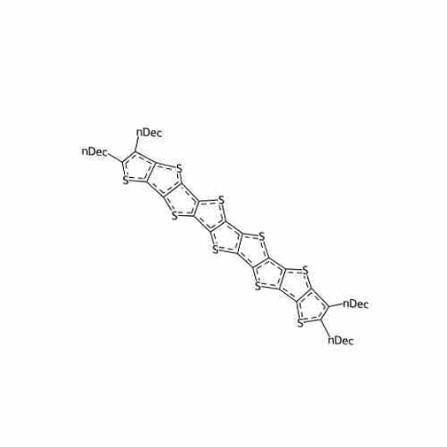 CCCCCCCCCCc1sc2c(sc3c2sc2c3sc3c2sc2c4sc5c6sc(CCCCCCCCCC)c(CCCCCCCCCC)c6sc5c4sc23)c1CCCCCCCCCC